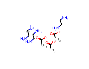 CC(=O)[O-].CC(=O)[O-].CC(=O)[O-].NCCN.NCCN.NCCN.[Cr+3]